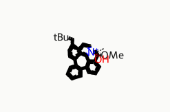 CO[C@H](C)c1cccc2c1-c1c3c(ccc(CC(C)(C)C)c3cc[n+]1[C@H](C)O)-c1ccccc1-2